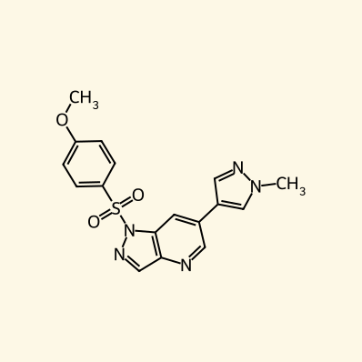 COc1ccc(S(=O)(=O)n2ncc3ncc(-c4cnn(C)c4)cc32)cc1